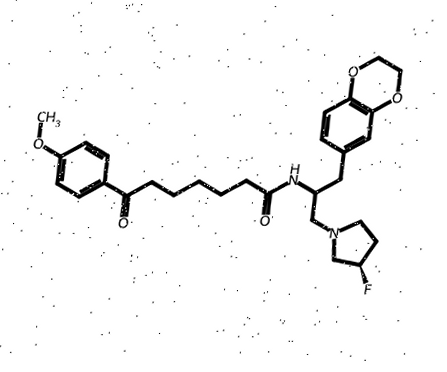 COc1ccc(C(=O)CCCCCC(=O)NC(Cc2ccc3c(c2)OCCO3)CN2CC[C@@H](F)C2)cc1